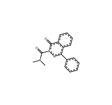 CN(C)C(=O)n1nc(-c2ccccc2)c2ccccc2c1=O